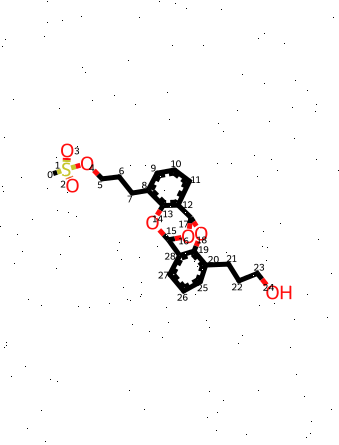 CS(=O)(=O)OCCCc1cccc2c1OC1OC2Oc2c(CCCO)cccc21